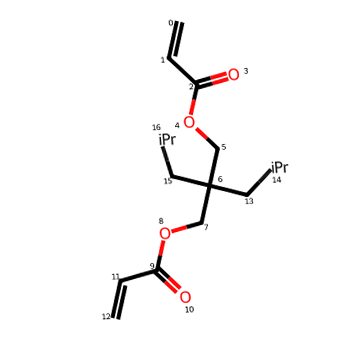 C=CC(=O)OCC(COC(=O)C=C)(CC(C)C)CC(C)C